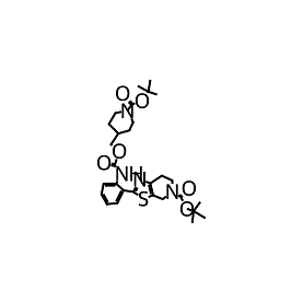 CC(C)(C)OC(=O)N1CCC(COC(=O)Nc2ccccc2-c2nc3c(s2)CN(C(=O)OC(C)(C)C)CC3)CC1